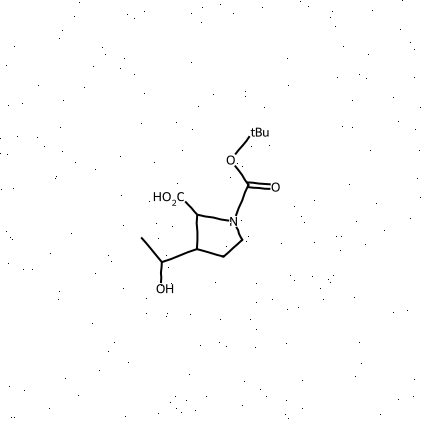 CC(O)C1CCN(C(=O)OC(C)(C)C)C1C(=O)O